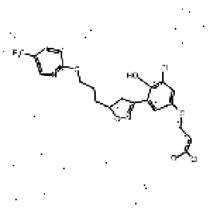 Oc1c(Cl)cc(OCC=C(Cl)Cl)cc1C1=NOC(CCCOc2ccc(C(F)(F)F)cn2)C1